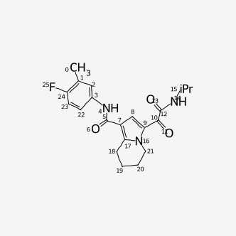 Cc1cc(NC(=O)c2cc(C(=O)C(=O)NC(C)C)n3c2CCCC3)ccc1F